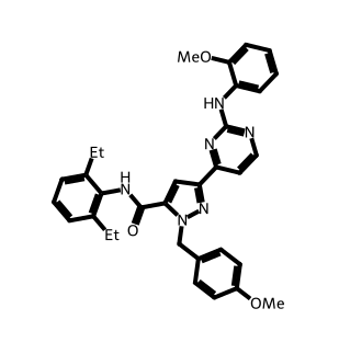 CCc1cccc(CC)c1NC(=O)c1cc(-c2ccnc(Nc3ccccc3OC)n2)nn1Cc1ccc(OC)cc1